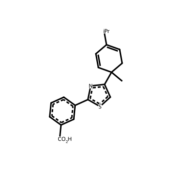 CC(C)C1=CCC(C)(c2csc(-c3cccc(C(=O)O)c3)n2)C=C1